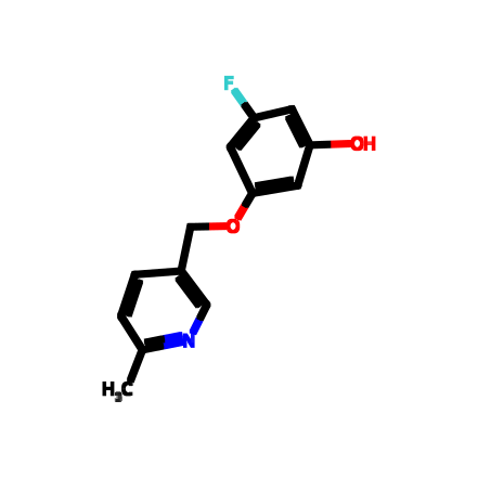 Cc1ccc(COc2cc(O)cc(F)c2)cn1